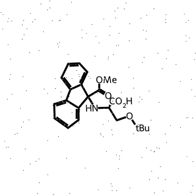 COC(=O)C1(N[C@H](COC(C)(C)C)C(=O)O)c2ccccc2-c2ccccc21